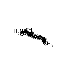 Cc1cc(C(N)=O)nn1-c1ccc2c(ccn2Cc2ccc(-c3ccc(CN4CCN(C)CC4)cc3)cc2)c1